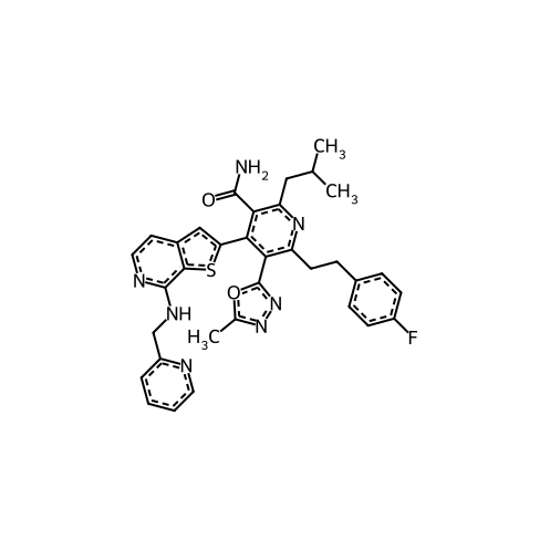 Cc1nnc(-c2c(CCc3ccc(F)cc3)nc(CC(C)C)c(C(N)=O)c2-c2cc3ccnc(NCc4ccccn4)c3s2)o1